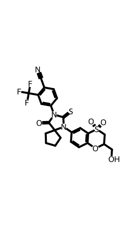 N#Cc1ccc(N2C(=O)C3(CCCC3)N(c3ccc4c(c3)S(=O)(=O)CC(CO)O4)C2=S)cc1C(F)(F)F